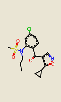 CCCN(c1cc(Cl)ccc1C(=O)c1cnoc1C1CC1)S(C)(=O)=O